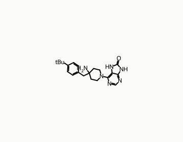 CC(C)(C)c1ccc(CC2(N)CCN(c3ncnc4[nH]c(=O)[nH]c34)CC2)cc1